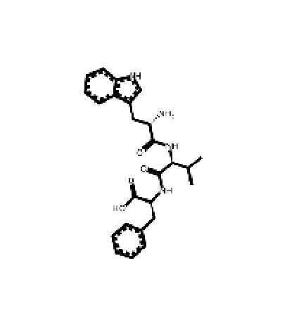 CC(C)[C@H](NC(=O)[C@@H](N)Cc1c[nH]c2ccccc12)C(=O)N[C@@H](Cc1ccccc1)C(=O)O